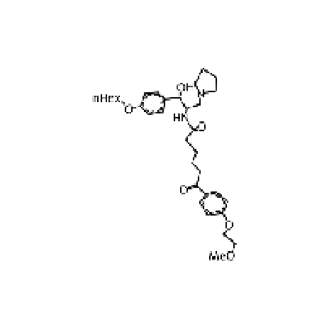 CCCCCCOc1ccc([C@@H](O)[C@@H](CN2CCCC2)NC(=O)CCCCC(=O)c2ccc(OCCOC)cc2)cc1